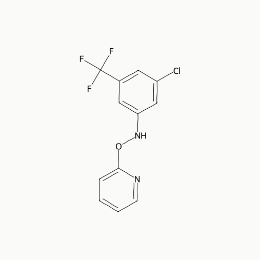 FC(F)(F)c1cc(Cl)cc(NOc2ccccn2)c1